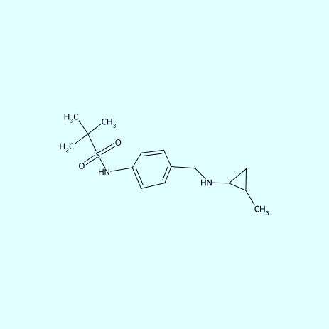 CC1CC1NCc1ccc(NS(=O)(=O)C(C)(C)C)cc1